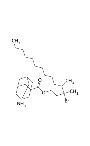 CCCCCCCCCCC(C)C(C)(Br)CCOC(=O)C12CC3CC(CC(C3)C1)C2.N